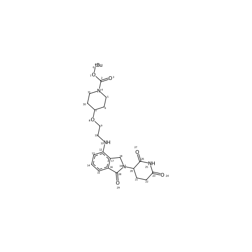 CC(C)(C)OC(=O)N1CCC(OCCNc2cccc3c2CN(C2CCC(=O)NC2=O)C3=O)CC1